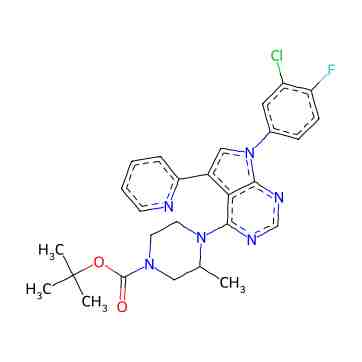 CC1CN(C(=O)OC(C)(C)C)CCN1c1ncnc2c1c(-c1ccccn1)cn2-c1ccc(F)c(Cl)c1